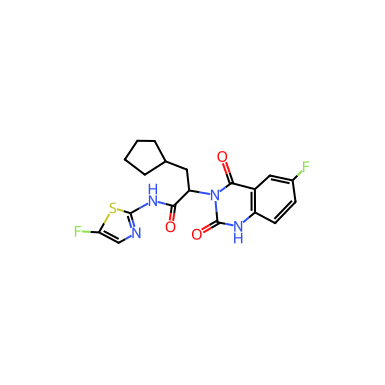 O=C(Nc1ncc(F)s1)C(CC1CCCC1)n1c(=O)[nH]c2ccc(F)cc2c1=O